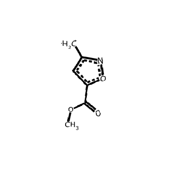 [CH2]c1cc(C(=O)OC)on1